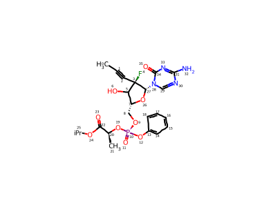 CC#C[C@@]1(F)C(O)[C@@H](CO[P@](=O)(Oc2ccccc2)O[C@@H](C)C(=O)OC(C)C)O[C@H]1n1cnc(N)nc1=O